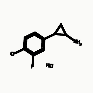 Cl.NC1CC1c1ccc(Cl)c(F)c1